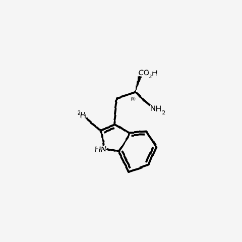 [2H]c1[nH]c2ccccc2c1C[C@H](N)C(=O)O